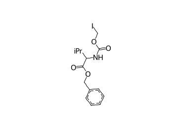 CC(C)C(NC(=O)OCI)C(=O)OCc1ccccc1